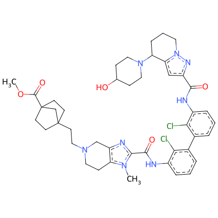 COC(=O)C12CCC(CCN3CCc4c(nc(C(=O)Nc5cccc(-c6cccc(NC(=O)c7cc8n(n7)CCCC8N7CCC(O)CC7)c6Cl)c5Cl)n4C)C3)(CC1)C2